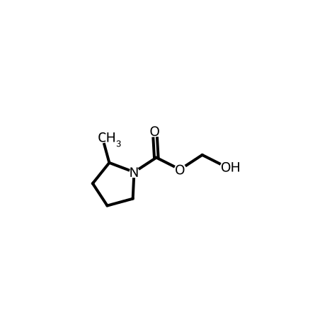 CC1CCCN1C(=O)OCO